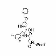 CCCCCN1CC(C(=O)N[C@@H](Cc2cc(F)cc(F)c2)[C@H](O)[C@H]2C[C@@H](OCc3ccccc3)CN2)CC1=O